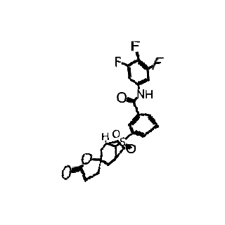 O=C1CC[C@@]2(CC3CC[C@@H](C2)C3S(=O)(=O)c2cccc(C(=O)Nc3cc(F)c(F)c(F)c3)c2)O1